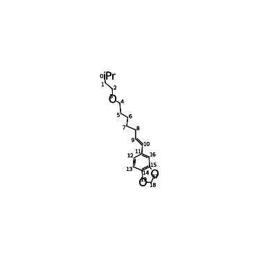 CC(C)CCOCCCCC/C=C/c1ccc2c(c1)OCO2